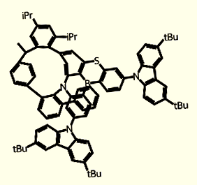 CC(C)c1cc(C(C)C)c2c(c1)C(C)c1ccc(cc1)-c1cccc(-c3ccccc3)c1N1c3cc(-n4c5ccc(C(C)(C)C)cc5c5cc(C(C)(C)C)ccc54)ccc3B3c4ccc(-n5c6ccc(C(C)(C)C)cc6c6cc(C(C)(C)C)ccc65)cc4Sc4cc-2cc1c43